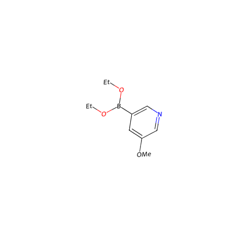 CCOB(OCC)c1cncc(OC)c1